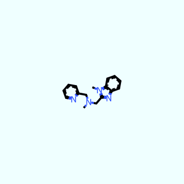 CN(Cc1ccccn1)Cc1nc2ccccc2n1C